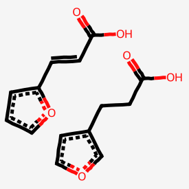 O=C(O)C=Cc1ccco1.O=C(O)CCc1ccoc1